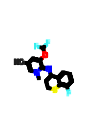 Cn1cc(C#N)cc(OC(F)F)/c1=N/C1CCSc2c(F)cccc21